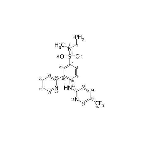 CN(CP)S(=O)(=O)c1ccc(Nc2ccc(C(F)(F)F)cn2)c(-c2ccccn2)c1